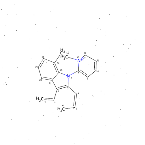 C=Cc1c(/C=C\C)n(-c2cccc[n+]2C)c2c(C)cccc12